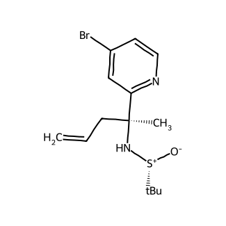 C=CC[C@](C)(N[S@+]([O-])C(C)(C)C)c1cc(Br)ccn1